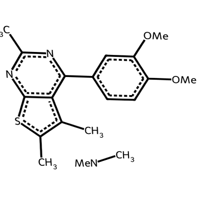 CNC.COc1ccc(-c2nc(C)nc3sc(C)c(C)c23)cc1OC